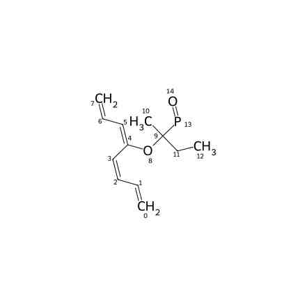 C=C/C=C\C(=C/C=C)OC(C)(CC)P=O